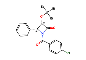 CC[Si](CC)(CC)O[C@@H]1C(=O)N(C(=O)c2ccc(Cl)cc2)[C@@H]1c1ccccc1